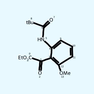 CCOC(=O)C(=O)c1c(NC(=O)C(C)(C)C)cccc1OC